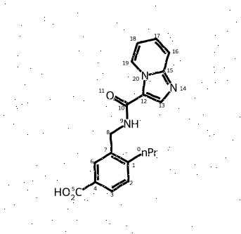 CCCc1ccc(C(=O)O)cc1CNC(=O)c1cnc2ccccn12